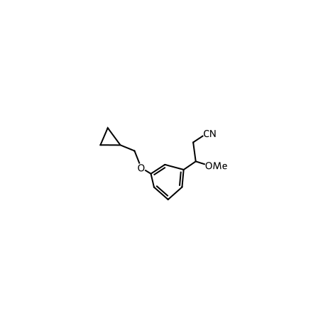 COC(CC#N)c1cccc(OCC2CC2)c1